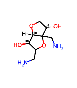 NCC1OC2(CN)[C@H](OC[C@@H]2O)[C@@H]1O